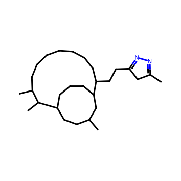 CC1=NN=C(CCC2CCCCCCCC(C)C(C)C3CCCC2CC(C)CC3)C1